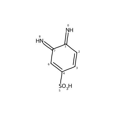 N=C1C=CC(S(=O)(=O)O)=CC1=N